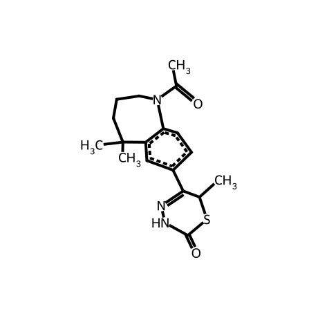 CC(=O)N1CCCC(C)(C)c2cc(C3=NNC(=O)SC3C)ccc21